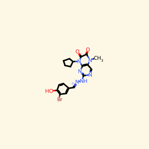 Cn1c(=O)c(=O)n(C2CCCC2)c2nc(N/N=C/c3ccc(O)c(Br)c3)ncc21